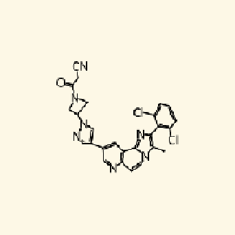 Cc1c(-c2c(Cl)cccc2Cl)nc2c3cc(-c4cnn(C5CN(C(=O)CC#N)C5)c4)cnc3ccn12